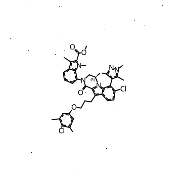 COC(=O)c1c(C)c2cccc(N3C[C@@H](C)n4c(c(CCCOc5cc(C)c(Cl)c(C)c5)c5ccc(Cl)c(-c6c(C)nn(C)c6C)c54)C3=O)c2n1C